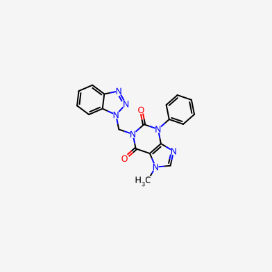 Cn1cnc2c1c(=O)n(Cn1nnc3ccccc31)c(=O)n2-c1ccccc1